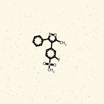 Cc1onc(-c2ccccc2)c1-c1ccc(S(C)(=O)=O)c(F)c1